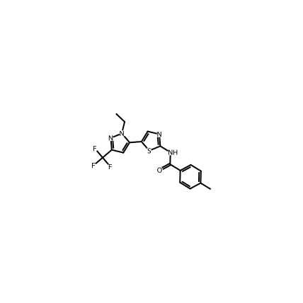 CCn1nc(C(F)(F)F)cc1-c1cnc(NC(=O)c2ccc(C)cc2)s1